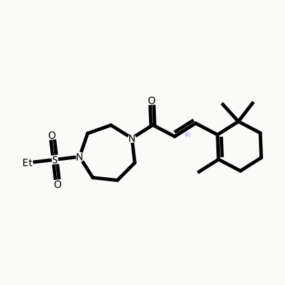 CCS(=O)(=O)N1CCCN(C(=O)/C=C/C2=C(C)CCCC2(C)C)CC1